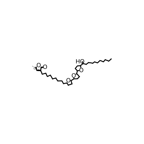 CCCCCCCCCCC(O)C1CCC(C2CCC(C3CCC(CCCCCCCCCC4=C[C@H](C)OC4=O)O3)O2)O1